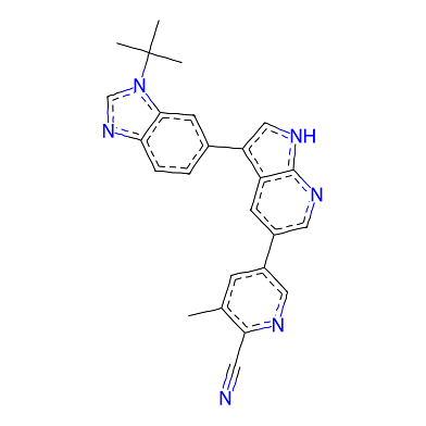 Cc1cc(-c2cnc3[nH]cc(-c4ccc5ncn(C(C)(C)C)c5c4)c3c2)cnc1C#N